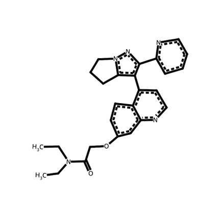 CCN(CC)C(=O)COc1ccc2c(-c3c(-c4ccccn4)nn4c3CCC4)ccnc2c1